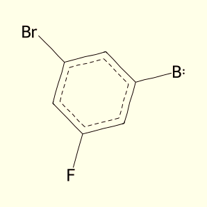 [B]c1cc(F)cc(Br)c1